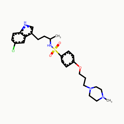 CC(CCc1c[nH]c2ccc(Cl)cc12)NS(=O)(=O)c1ccc(OCCCN2CCN(C)CC2)cc1